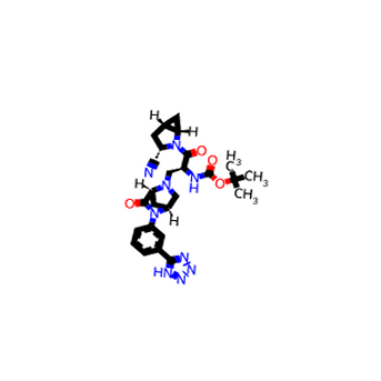 CC(C)(C)OC(=O)N[C@@H](CN1C[C@@H]2C[C@H]1C(=O)N2c1cccc(-c2nnn[nH]2)c1)C(=O)N1[C@H](C#N)C[C@@H]2C[C@@H]21